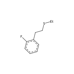 CCSCCc1ccccc1F